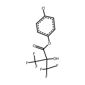 O=C(Oc1ccc(Cl)cc1)C(O)(C(F)(F)F)C(F)(F)F